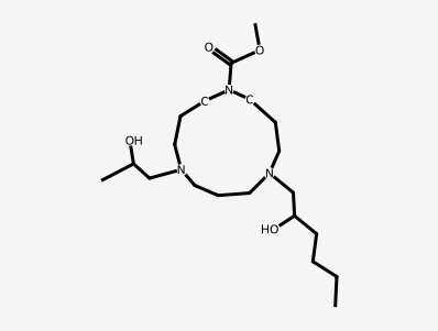 CCCCC(O)CN1CCCN(CC(C)O)CCCN(C(=O)OC)CCC1